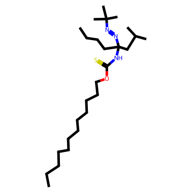 CCCCCCCCCCCCOC(=S)NC(CCCC)(CC(C)C)N=NC(C)(C)C